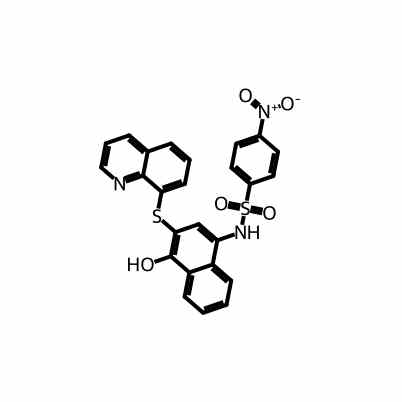 O=[N+]([O-])c1ccc(S(=O)(=O)Nc2cc(Sc3cccc4cccnc34)c(O)c3ccccc23)cc1